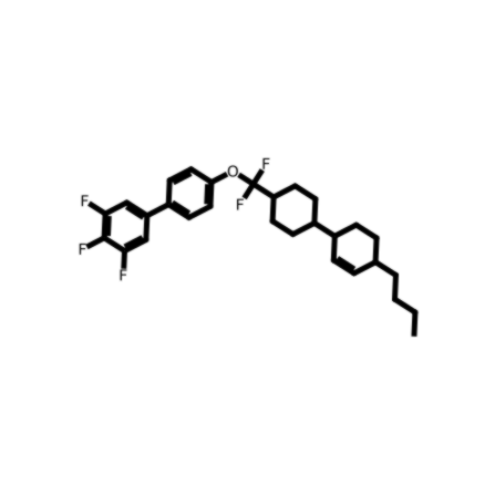 CCCCC1C=CC(C2CCC(C(F)(F)Oc3ccc(-c4cc(F)c(F)c(F)c4)cc3)CC2)CC1